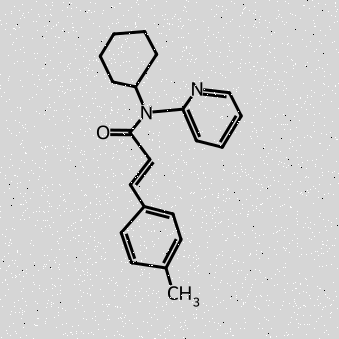 Cc1ccc(/C=C/C(=O)N(c2ccccn2)C2CCCCC2)cc1